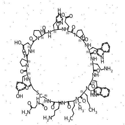 CCCC[C@H]1C(=O)N(C)[C@@H](CCCC)C(=O)N[C@@H](CCCN)C(=O)N[C@H](C(=O)NCC(N)=O)CSCC(=O)N[C@@H](Cc2ccc(O)cc2)C(=O)N2CCC[C@H]2C(=O)N[C@@H](CC(=O)O)C(=O)N2CCC[C@H]2C(=O)N[C@@H](Cc2c[nH]cn2)C(=O)N[C@@H](CCC(=O)O)C(=O)N2CCC[C@H]2C(=O)N[C@@H](Cc2c[nH]c3ccccc23)C(=O)N[C@@H](CCN)C(=O)N[C@@H](Cc2c[nH]c3ccccc23)C(=O)N1C